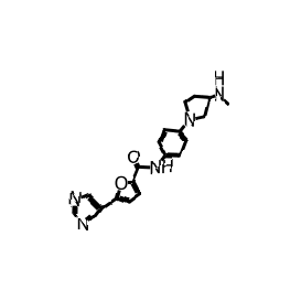 CNC1CCN(c2ccc(NC(=O)c3ccc(-c4cncnc4)o3)cc2)C1